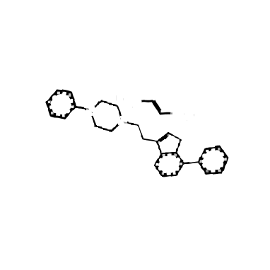 C1=C(CCN2CCN(c3ccccc3)CC2)c2cccc(-c3ccccc3)c2C1.O=C(O)C=CC(=O)O